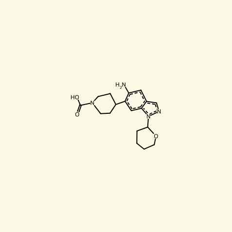 Nc1cc2cnn(C3CCCCO3)c2cc1C1CCN(C(=O)O)CC1